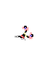 C#CCCC1(C)OCC(CSCCC(=O)ON2C(=O)CCC2=O)(CSCCC(=O)ON2C(=O)CCC2=O)CO1